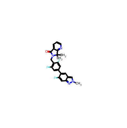 BC1(B)c2ncccc2C(=O)N1Cc1c(F)cc(-c2cc3cn(C)nc3cc2F)cc1F